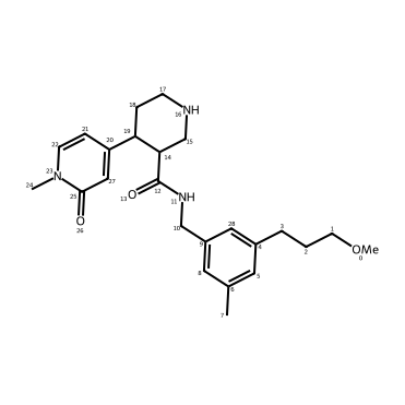 COCCCc1cc(C)cc(CNC(=O)C2CNCCC2c2ccn(C)c(=O)c2)c1